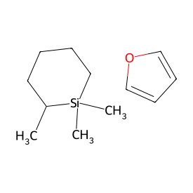 CC1CCCC[Si]1(C)C.c1ccoc1